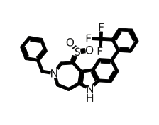 O=S(=O)=C1CN(Cc2ccccc2)CCc2[nH]c3ccc(-c4ccccc4C(F)(F)F)cc3c21